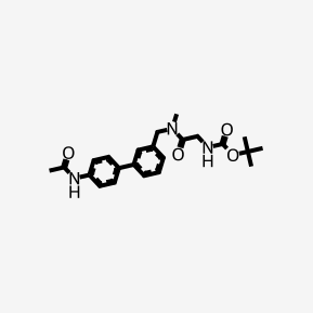 CC(=O)Nc1ccc(-c2cccc(CN(C)C(=O)CNC(=O)OC(C)(C)C)c2)cc1